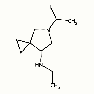 CCNC1CN(C(C)I)CC12CC2